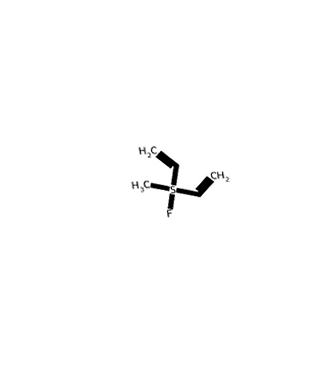 C=CS(C)(F)C=C